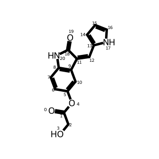 O=C(CO)Oc1ccc2c(c1)C(=Cc1ccc[nH]1)C(=O)N2